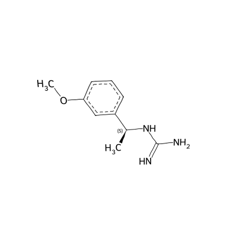 COc1cccc([C@H](C)NC(=N)N)c1